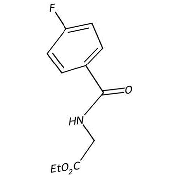 CCOC(=O)CNC(=O)c1ccc(F)cc1